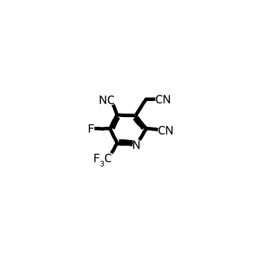 N#CCc1c(C#N)nc(C(F)(F)F)c(F)c1C#N